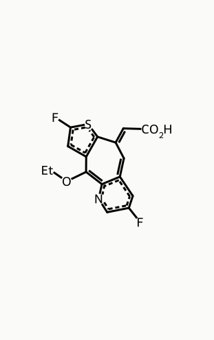 CCOC1=c2ncc(F)cc2=CC(=CC(=O)O)c2sc(F)cc21